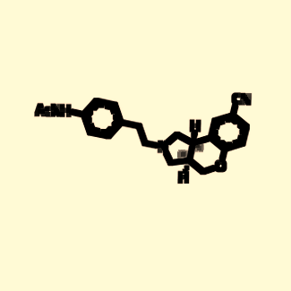 CC(=O)Nc1ccc(CCN2C[C@@H]3COc4ccc(C#N)cc4[C@H]3C2)cc1